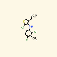 Cc1c(Cl)ccc(Nc2c(CC(=O)O)csc2Cl)c1Cl